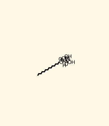 CCCCCCCCCCCCCCOP(=O)(O)N[C@@](CO)(C(=O)O)N(C)C